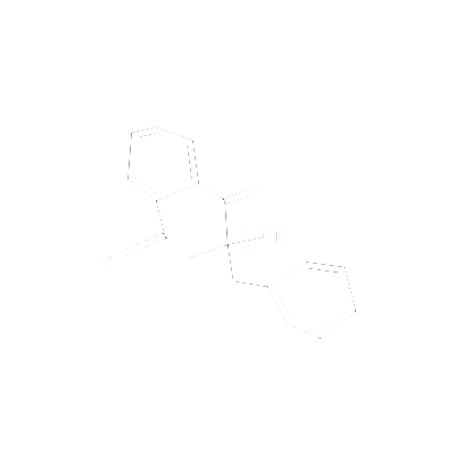 O=C1CC(O)(Cc2ccccc2)C(=O)c2ccccc21